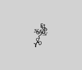 C=C(C)C(=O)OCCC[Si](C[Si](=O)CC)(O[Si](C)(C)C)O[Si](C)(C)C